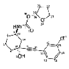 O=C(N[C@@H]1CCC[C@](O)(C#Cc2cccc(Cl)c2)C1)O[C@@H]1CCCO1